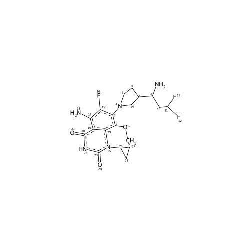 COc1c(N2CCC(C(N)CC(F)F)C2)c(F)c(N)c2c(=O)[nH]c(=O)n(C3CC3)c12